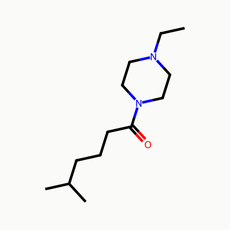 CCN1CCN(C(=O)CCCC(C)C)CC1